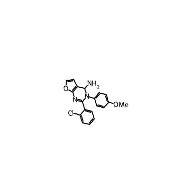 COc1ccc(N2C(c3ccccc3Cl)=Nc3occc3C2N)cc1